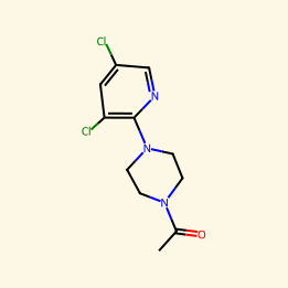 CC(=O)N1CCN(c2ncc(Cl)cc2Cl)CC1